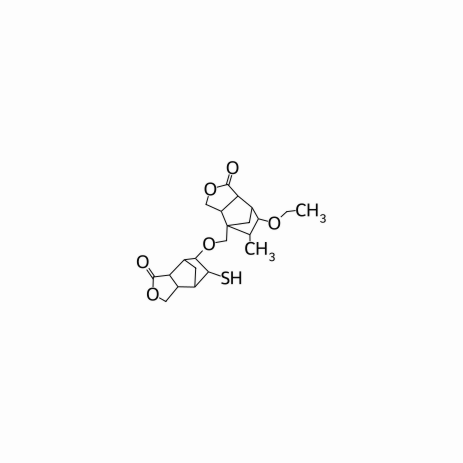 CCOC1C2CC(COC3C(S)C4CC3C3C(=O)OCC43)(C1C)C1COC(=O)C21